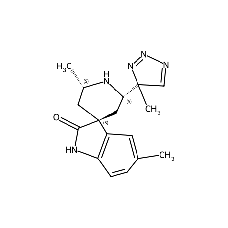 Cc1ccc2c(c1)[C@]1(C[C@@H](C3(C)C=NN=N3)N[C@@H](C)C1)C(=O)N2